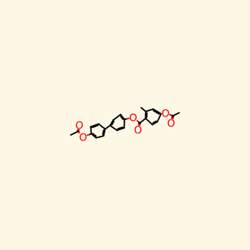 CC(=O)Oc1ccc(-c2ccc(OC(=O)c3ccc(OC(C)=O)cc3C)cc2)cc1